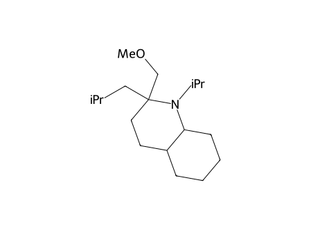 COCC1(CC(C)C)CCC2CCCCC2N1C(C)C